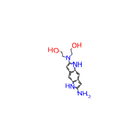 Nc1cc2cc3[nH]c(N(CCO)CCO)cc3cc2[nH]1